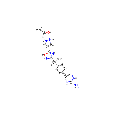 CNC(=O)Cn1cc(-c2nc(C(C)(c3ccc(-c4cnc(N)nc4)cc3)C(C)C)no2)cn1